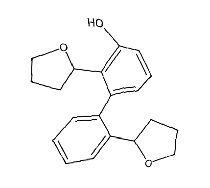 Oc1cccc(-c2ccccc2C2CCCO2)c1C1CCCO1